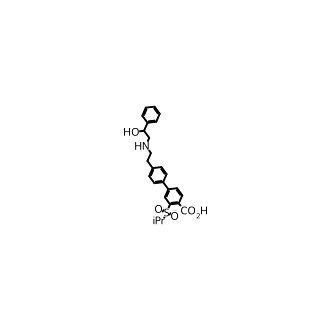 CC(C)S(=O)(=O)c1cc(-c2ccc(CCNCC(O)c3ccccc3)cc2)ccc1C(=O)O